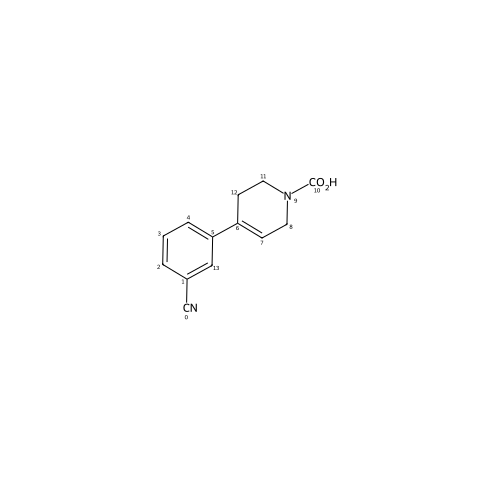 N#Cc1cccc(C2=CCN(C(=O)O)CC2)c1